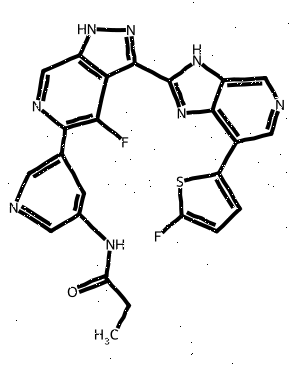 CCC(=O)Nc1cncc(-c2ncc3[nH]nc(-c4nc5c(-c6ccc(F)s6)cncc5[nH]4)c3c2F)c1